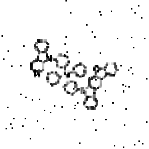 c1ccc([Si](c2ccccc2)(c2cccc(-n3c4ccccc4c4ccncc43)c2)c2cccc(-n3c4ccccc4c4cc5c(cc43)oc3ccccc35)c2)cc1